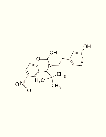 CC(C)(C)C(c1cccc([N+](=O)[O-])c1)N(CCc1cccc(O)c1)C(=O)O